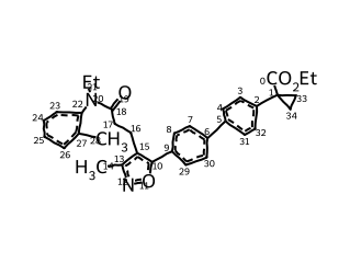 CCOC(=O)C1(c2ccc(-c3ccc(-c4onc(C)c4CCC(=O)N(CC)c4ccccc4C)cc3)cc2)CC1